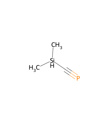 C[SiH](C)C#P